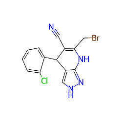 N#CC1=C(CBr)Nc2n[nH]cc2C1c1ccccc1Cl